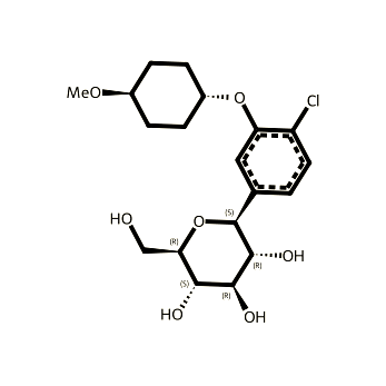 CO[C@H]1CC[C@H](Oc2cc([C@@H]3O[C@H](CO)[C@@H](O)[C@H](O)[C@H]3O)ccc2Cl)CC1